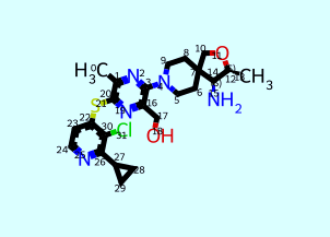 Cc1nc(N2CCC3(CC2)CO[C@@H](C)[C@H]3N)c(CO)nc1Sc1ccnc(C2CC2)c1Cl